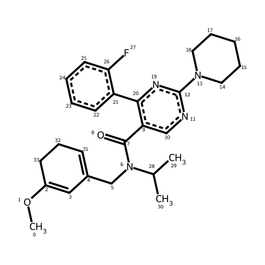 COC1=CC(CN(C(=O)c2cnc(N3CCCCC3)nc2-c2ccccc2F)C(C)C)=CCC1